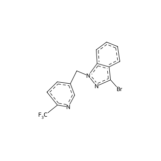 FC(F)(F)c1ccc(Cn2nc(Br)c3ccccc32)cn1